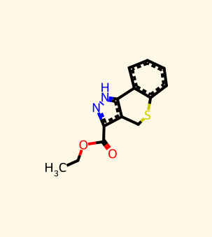 CCOC(=O)c1n[nH]c2c1CSc1ccccc1-2